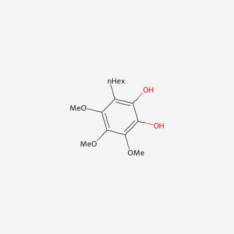 CCCCCCc1c(O)c(O)c(OC)c(OC)c1OC